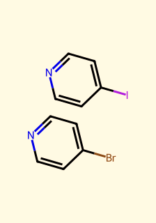 Brc1ccncc1.Ic1ccncc1